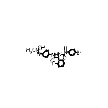 CN(C)N=C1C=CC(NC(=O)C(NC(=O)Nc2ccc(Br)cc2)c2ccccc2F)=CC1